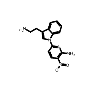 NCCc1cn(-c2ccc([N+](=O)[O-])c(N)n2)c2ccccc12